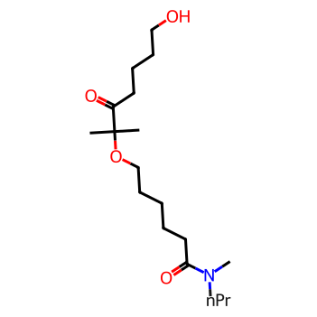 CCCN(C)C(=O)CCCCCOC(C)(C)C(=O)CCCCO